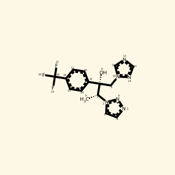 C[C@@H](n1ccnn1)[C@](O)(Cn1cncn1)c1ccc(C(F)(F)F)cc1